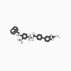 Cc1nc2cc(-c3ccc(C(=O)NS(=O)(=O)c4ccc(NCC56CC7CC(CC(C7)C5)C6)c([N+](=O)[O-])c4)cc3)ccc2o1